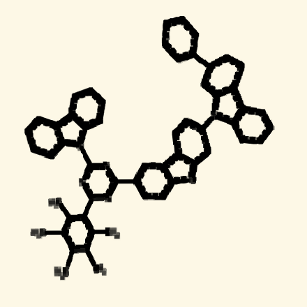 Bc1c(B)c(B)c(-c2nc(-c3ccc4oc5cc(-n6c7ccccc7c7ccc(-c8ccccc8)cc76)ccc5c4c3)nc(-n3c4ccccc4c4ccccc43)n2)c(B)c1B